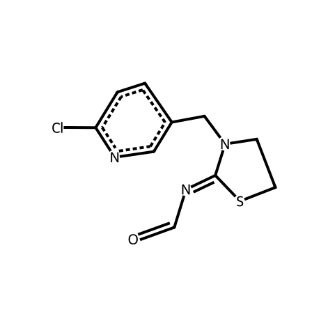 O=CN=C1SCCN1Cc1ccc(Cl)nc1